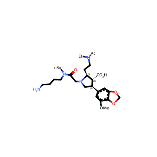 CCCCN(CCCCN)C(=O)CN1C[C@H](c2cc(OC)c3c(c2)OCO3)[C@@H](C(=O)O)[C@@H]1CCN(CC)C(C)=O